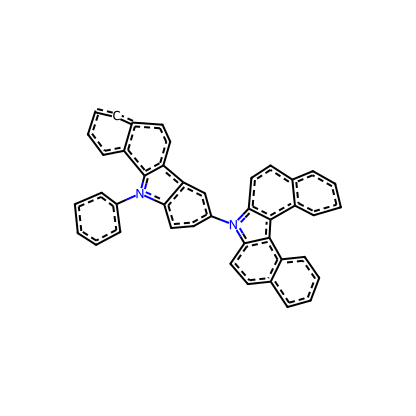 c1ccc(-n2c3ccc(-n4c5ccc6ccccc6c5c5c6ccccc6ccc54)cc3c3ccc4ccccc4c32)cc1